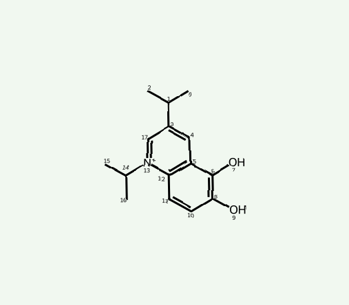 CC(C)c1cc2c(O)c(O)ccc2[n+](C(C)C)c1